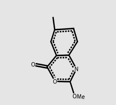 COc1nc2ccc(C)cc2c(=O)o1